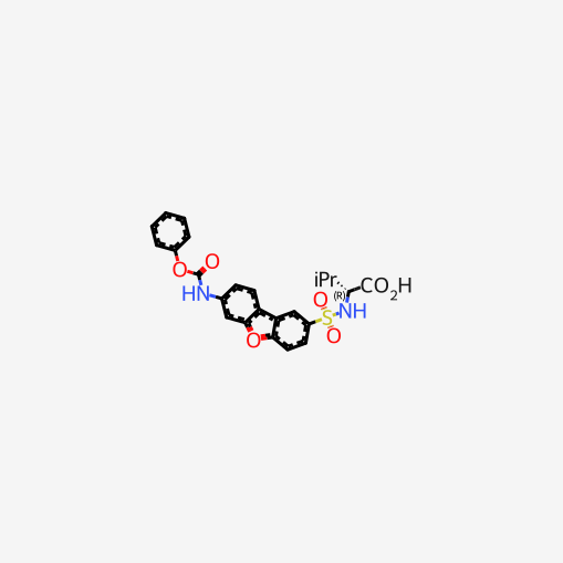 CC(C)[C@@H](NS(=O)(=O)c1ccc2oc3cc(NC(=O)Oc4ccccc4)ccc3c2c1)C(=O)O